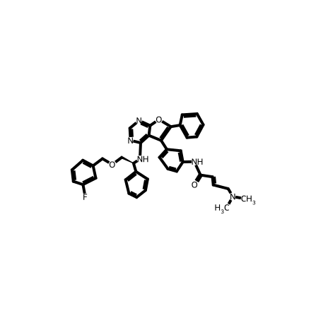 CN(C)C/C=C/C(=O)Nc1cccc(-c2c(-c3ccccc3)oc3ncnc(N[C@H](COCc4cccc(F)c4)c4ccccc4)c23)c1